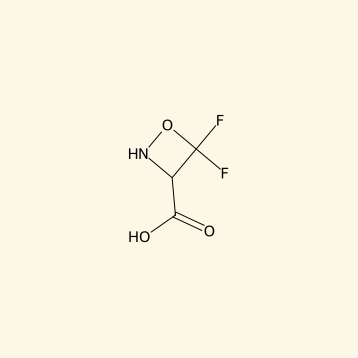 O=C(O)C1NOC1(F)F